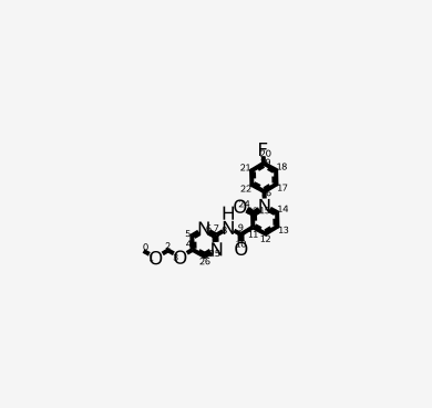 COCOc1cnc(NC(=O)c2cccn(-c3ccc(F)cc3)c2=O)nc1